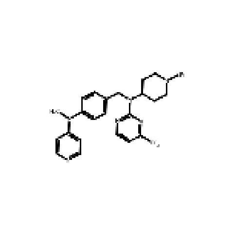 CC(C)N1CCC(N(Cc2ccc(N(C)c3ccncc3)cc2)c2nccc(C(F)(F)F)n2)CC1